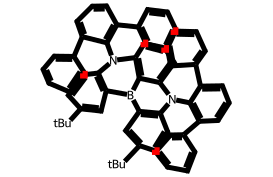 CC(C)(C)c1ccc2c(c1)B1c3cc(C(C)(C)C)ccc3N(c3c(-c4ccccc4)cccc3-c3ccccc3)c3cccc(c31)N2c1c(-c2ccccc2)cccc1-c1ccccc1